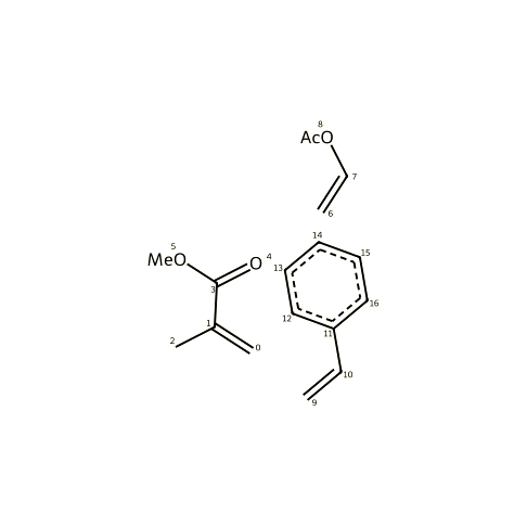 C=C(C)C(=O)OC.C=COC(C)=O.C=Cc1ccccc1